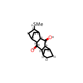 CSC1CC2CC1C1C(=O)C3C4CCC(C4)C3C(=O)C21